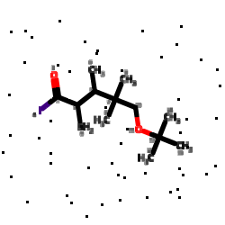 BC(C(=O)I)C(C)C(C)(C)COC(C)(C)C